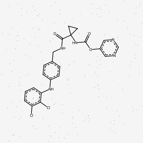 O=C(NC1(C(=O)NCc2ccc(Nc3cccc(Cl)c3Cl)cc2)CC1)Oc1cncnc1